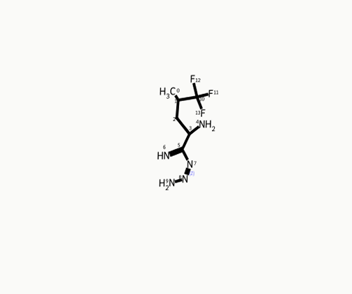 CC(CC(N)C(=N)/N=N\N)C(F)(F)F